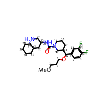 COCCCOC(c1ccc(F)c(F)c1)C1CCCN(C(=O)NC(CN)CC2CCCCC2)C1